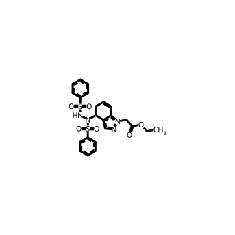 CCOC(=O)Cn1ncc2c1C=CCC2N(NS(=O)(=O)c1ccccc1)S(=O)(=O)c1ccccc1